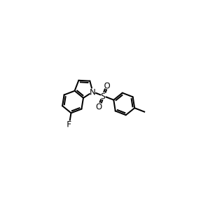 Cc1ccc(S(=O)(=O)n2ccc3ccc(F)cc32)cc1